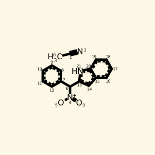 CC#N.O=[N+]([O-])C(c1ccccc1)c1cc2ccccc2[nH]1